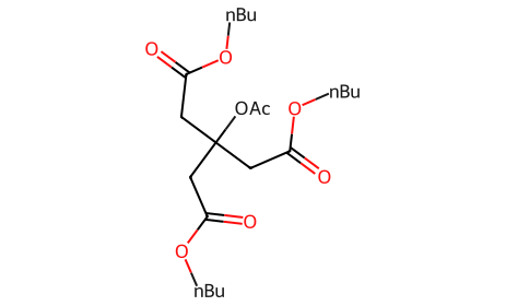 CCCCOC(=O)CC(CC(=O)OCCCC)(CC(=O)OCCCC)OC(C)=O